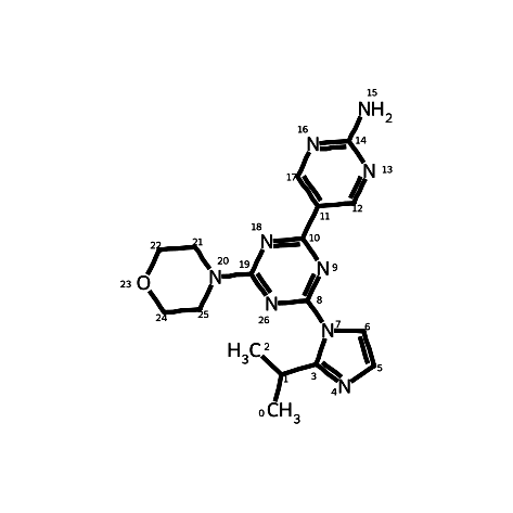 CC(C)c1nccn1-c1nc(-c2cnc(N)nc2)nc(N2CCOCC2)n1